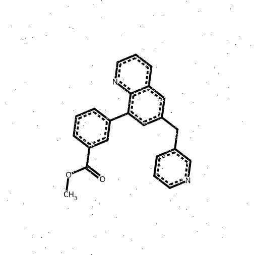 COC(=O)c1cccc(-c2cc(Cc3cccnc3)cc3cccnc23)c1